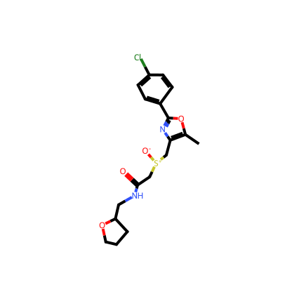 Cc1oc(-c2ccc(Cl)cc2)nc1C[S+]([O-])CC(=O)NCC1CCCO1